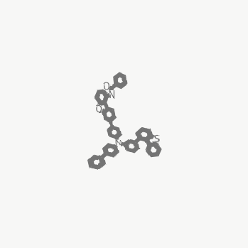 c1ccc(-c2ccc(N(c3ccc(-c4ccc5c(c4)oc4ccc6oc(-c7ccccc7)nc6c45)cc3)c3cccc(-c4cccc5sc6ccccc6c45)c3)cc2)cc1